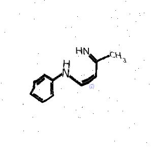 CC(=N)/C=C\Nc1ccccc1